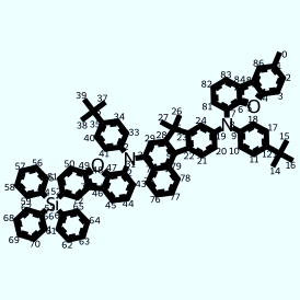 Cc1ccc2oc3c(N(c4ccc(C(C)(C)C)cc4)c4ccc5c(c4)C(C)(C)c4cc(N(c6ccc(C(C)(C)C)cc6)c6cccc7c6oc6ccc([Si](c8ccccc8)(c8ccccc8)c8ccccc8)cc67)c6ccccc6c4-5)cccc3c2c1